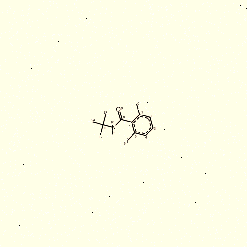 Cc1cccc(I)c1C(=O)NC(C)(C)C